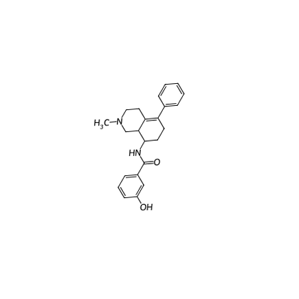 CN1CCC2=C(c3ccccc3)CCC(NC(=O)c3cccc(O)c3)C2C1